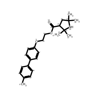 Cc1ccc(-c2ccc(OCCOC(=O)C3CC(C)(C)NC3(C)C)cc2)cc1